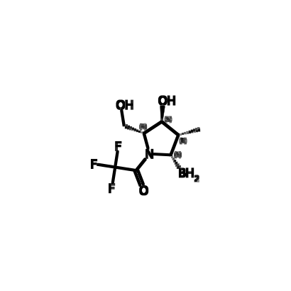 B[C@H]1[C@@H](C)[C@H](O)[C@@H](CO)N1C(=O)C(F)(F)F